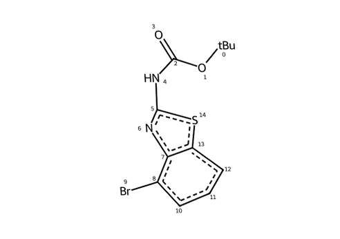 CC(C)(C)OC(=O)Nc1nc2c(Br)cccc2s1